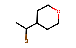 CC(S)C1CCOCC1